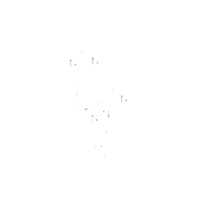 CC(C)(C)OC(=O)Cn1nc(C(N)=O)c2cc(Oc3cnccn3)ccc21